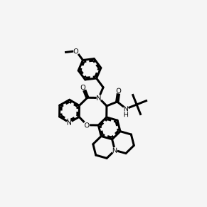 COc1ccc(CN2C(=O)c3cccnc3Oc3c(cc4c5c3CCCN5CCC4)C2C(=O)NC(C)(C)C)cc1